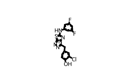 Oc1ccc(Cc2nnc3sc(Nc4cc(F)cc(F)c4)nn23)cc1Cl